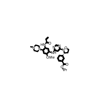 C=CC(=O)Nc1cc(Nc2cc(N3OCC[C@@H]3c3cccc(C(=O)OC(C)C)c3)ncn2)c(OC)cc1N1CCN(C)CC1